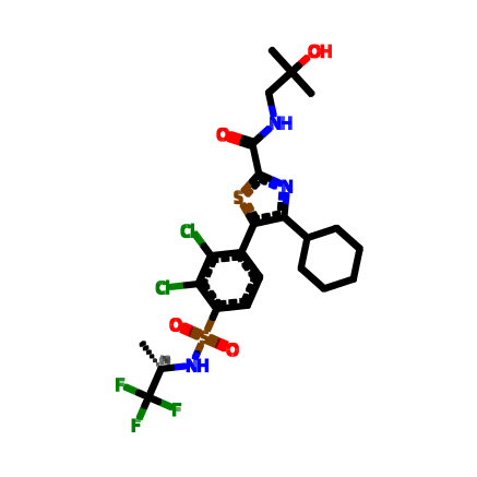 C[C@H](NS(=O)(=O)c1ccc(-c2sc(C(=O)NCC(C)(C)O)nc2C2CCCCC2)c(Cl)c1Cl)C(F)(F)F